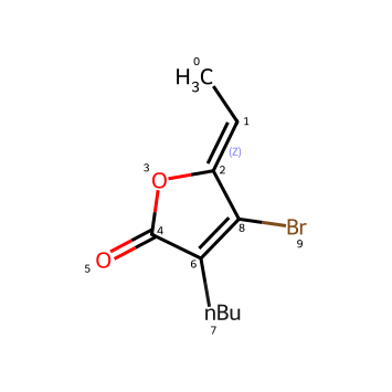 C/C=C1\OC(=O)C(CCCC)=C1Br